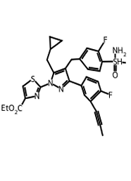 CC#Cc1cc(-c2nn(-c3nc(C(=O)OCC)cs3)c(CC3CC3)c2Cc2ccc([SH](C)(N)=O)c(F)c2)ccc1F